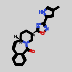 Cc1c[nH]c(-c2noc([C@H]3CC[C@@H]4C=Cc5ccccc5C(=O)N4C3)n2)c1